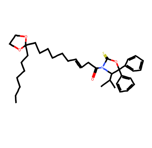 CCCCCCCC1(CCCCCC/C=C/CC(=O)N2C(=S)OC(c3ccccc3)(c3ccccc3)C2C(C)C)OCCO1